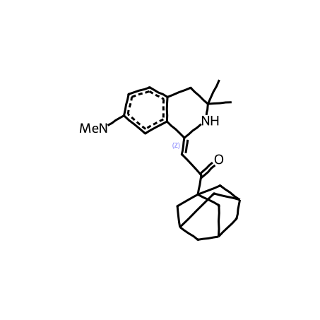 CNc1ccc2c(c1)/C(=C/C(=O)C13CC4CC(CC(C4)C1)C3)NC(C)(C)C2